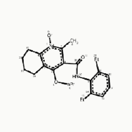 CCCOc1c2c([n+]([O-])c(C)c1C(=O)Nc1c(CC)cccc1CC)CCCC2